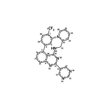 FC(F)(F)c1ccc(-c2cccc3nc(-c4cncnc4)nc(NCc4ccccn4)c23)cc1